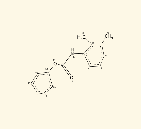 Cc1cccc(NC(=O)Oc2ccccc2)c1C